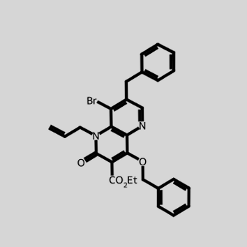 C=CCn1c(=O)c(C(=O)OCC)c(OCc2ccccc2)c2ncc(Cc3ccccc3)c(Br)c21